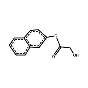 O=C(CO)Oc1ccc2ccccc2c1